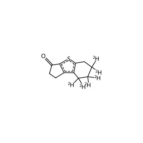 [2H]C1([2H])Cc2sc3c(c2C([2H])([2H])C1([2H])[2H])CCC3=O